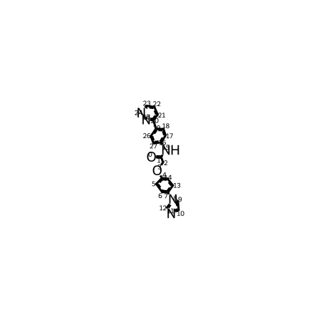 O=C(COc1ccc(-n2ccnc2)cc1)Nc1ccc(-c2cccnn2)cc1